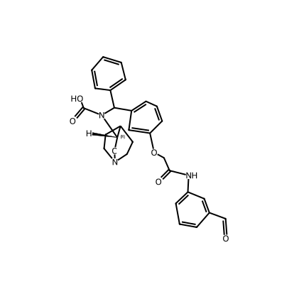 O=Cc1cccc(NC(=O)COc2cccc(C(c3ccccc3)N(C(=O)O)[C@H]3CN4CCC3CC4)c2)c1